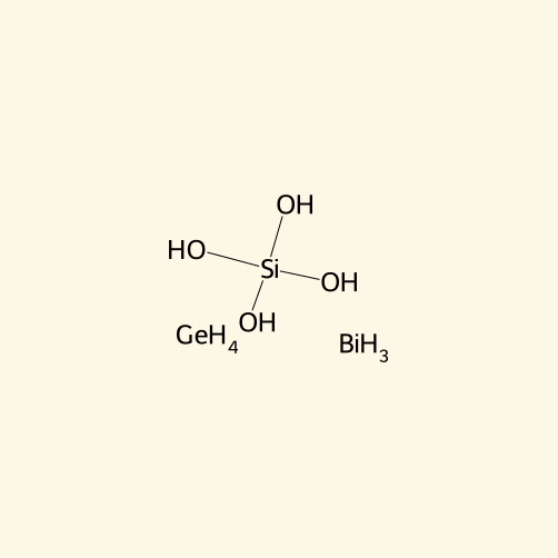 O[Si](O)(O)O.[BiH3].[GeH4]